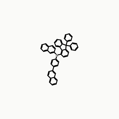 c1ccc(C2(c3ccccc3)c3ccccc3-c3c(N(c4ccc(-c5ccc6ccccc6c5)cc4)c4ccc5ccccc5c4)cccc32)cc1